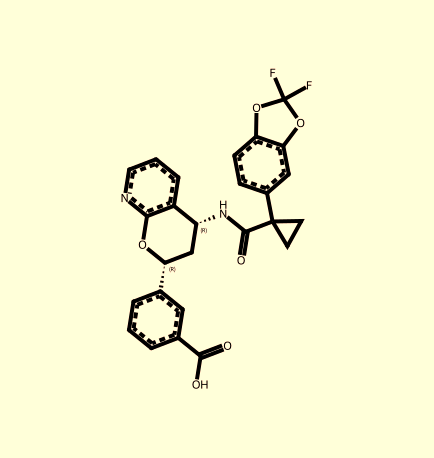 O=C(O)c1cccc([C@H]2C[C@@H](NC(=O)C3(c4ccc5c(c4)OC(F)(F)O5)CC3)c3cccnc3O2)c1